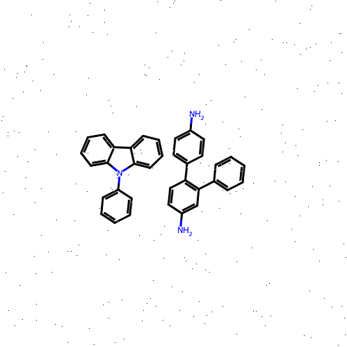 Nc1ccc(-c2ccc(N)cc2-c2ccccc2)cc1.c1ccc(-n2c3ccccc3c3ccccc32)cc1